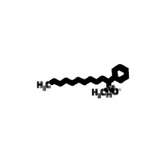 CCCCCCCCCCC(c1ccccc1)[NH+](C)[O-]